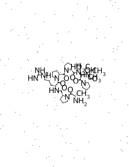 C[C@H](N)C(=O)N1CCC[C@H]1C(=O)N[C@@H](CCCNC(=N)N)C(=O)N1CCC[C@H]1C(=O)N1CCC[C@H]1C(=O)N[C@H](C(=O)N1CCC[C@H]1C(=O)N[C@@H](C)C(=O)O)[C@@H](C)O